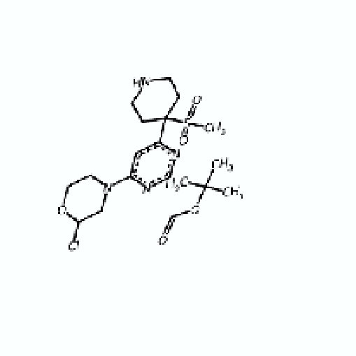 CC(C)(C)OC=O.CS(=O)(=O)C1(c2cc(N3CCOC(Cl)C3)ncn2)CCNCC1